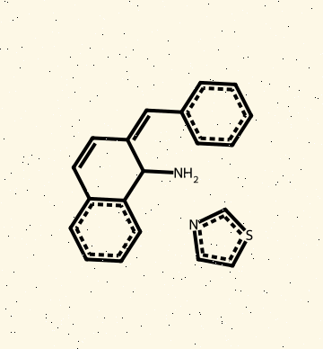 NC1C(=Cc2ccccc2)C=Cc2ccccc21.c1cscn1